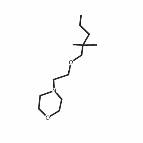 CCCC(C)(C)COCCN1CCOCC1